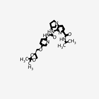 CC(C)NC(=O)c1ccc2c(n1)N(C(=O)Nc1ccc(OC[C@H]3COC(C)(C)O3)cn1)[C@H]1CCN2C1